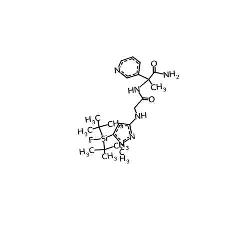 Cn1nc(NCC(=O)NC(C)(C(N)=O)c2cccnc2)cc1[Si](F)(C(C)(C)C)C(C)(C)C